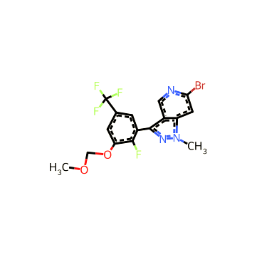 COCOc1cc(C(F)(F)F)cc(-c2nn(C)c3cc(Br)ncc23)c1F